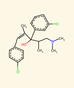 C/C(=C/c1ccc(Cl)cc1)C(O)(c1cccc(Cl)c1)C(C)CN(C)C